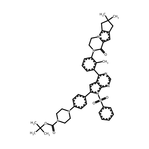 Cc1c(-c2ncnc3c2cc(-c2ccc(N4CCN(C(=O)OC(C)(C)C)CC4)cc2)n3S(=O)(=O)c2ccccc2)cccc1N1CCn2c(cc3c2CC(C)(C)C3)C1=O